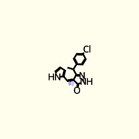 CC(C1=NNC(=O)/C1=C/c1ccc[nH]1)c1ccc(Cl)cc1